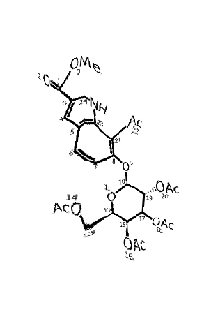 COC(=O)c1cc2ccc(O[C@@H]3O[C@H](COC(C)=O)[C@H](OC(C)=O)C(OC(C)=O)[C@H]3OC(C)=O)c(C(C)=O)c2[nH]1